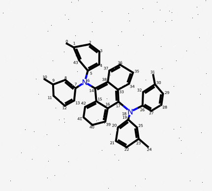 Cc1cccc(N(C2=CC(C)CC=C2)c2c3c(c(N(c4cccc(C)c4)c4cccc(C)c4)c4ccccc24)=CCCC=3)c1